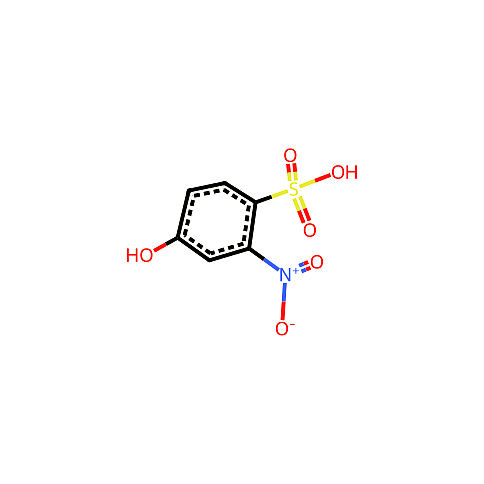 O=[N+]([O-])c1cc(O)ccc1S(=O)(=O)O